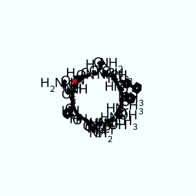 CCCC(C(N)=O)[C@@H]1NC(=O)CNC(=O)[C@H](Cc2ccccc2)NC(=O)CSC[C@@H](C(=O)NCC(N)=O)NC(=O)[C@@H]2CCCN2C(=O)[C@H](C)NC(=O)[C@H](CCC(N)=O)NC(=O)[C@H](C)N(C)C(=O)[C@H](Cc2ccc(-c3ccccc3)cc2)NC(=O)[C@H](Cc2ccccc2)N(C)C(=O)[C@H](C)NC(=O)[C@H]([C@@H](C)O)NC(=O)[C@H]([C@@H](C)O)NC1=O